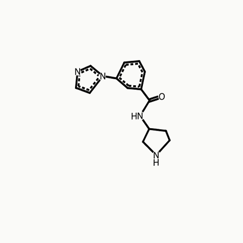 O=C(NC1CCNC1)c1cccc(-n2ccnc2)c1